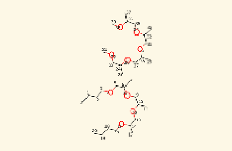 CCCCOCC(C)OCC(C)OCC(C)OCCCC.COCC(C)OCC(C)OCC(C)OCC(C)OC